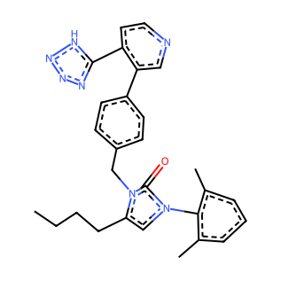 CCCCc1cn(-c2c(C)cccc2C)c(=O)n1Cc1ccc(-c2cnccc2-c2nnn[nH]2)cc1